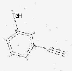 C#Cc1cccc([TeH])c1